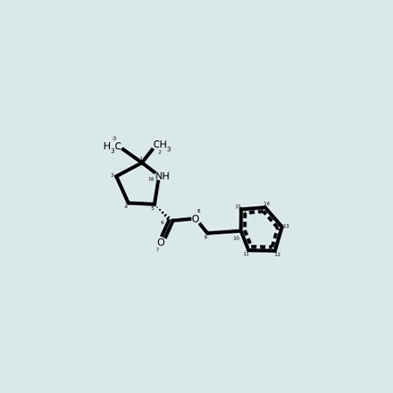 CC1(C)CC[C@@H](C(=O)OCc2ccccc2)N1